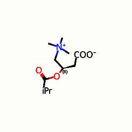 CC(C)C(=O)O[C@H](CC(=O)[O-])C[N+](C)(C)C